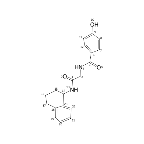 O=C(CNC(=O)c1ccc(O)cc1)NC1CCCc2ccccc21